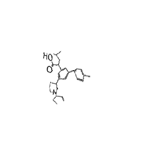 CCC(CC)N1CCCC(c2cc(-c3ccc(C)cc3)cc(C(CC(C)C)C(=O)O)c2)C1